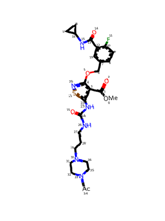 COC(=O)c1c(OCc2ccc(F)c(C(=O)NC3CC3)c2)nsc1NC(=O)NCCCN1CCN(C(C)=O)CC1